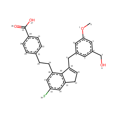 COc1cc(CO)cc(CC2=CCc3cc(F)cc(CCc4ccc(C(=O)O)cc4)c32)c1